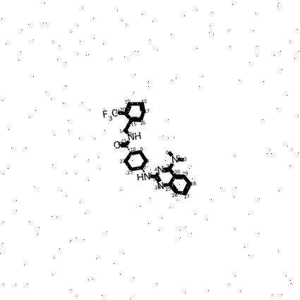 CN(C)c1nc(N[C@H]2CC[C@@H](C(=O)NCc3ccccc3C(F)(F)F)CC2)nc2ccccc12